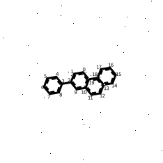 [c]1cc(-c2ccccc2)cc2ccc3ccccc3c12